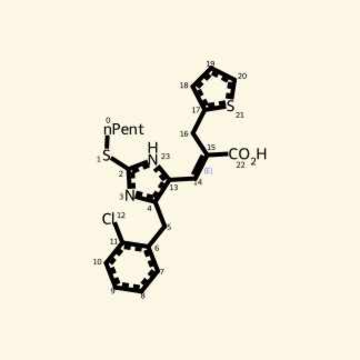 CCCCCSc1nc(Cc2ccccc2Cl)c(/C=C(\Cc2cccs2)C(=O)O)[nH]1